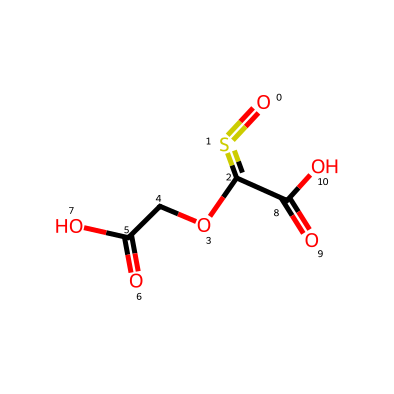 O=S=C(OCC(=O)O)C(=O)O